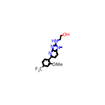 COc1cc(C(F)(F)F)ccc1-c1ccc2c(n1)nc(NCCO)n2C